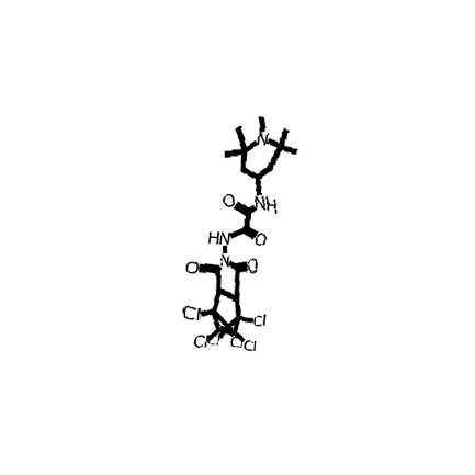 CN1C(C)(C)CC(NC(=O)C(=O)NN2C(=O)C3C(C2=O)C2(Cl)C(Cl)=C(Cl)C3(Cl)C2(Cl)Cl)CC1(C)C